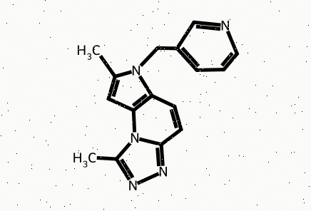 Cc1cc2c(ccc3nnc(C)n32)n1Cc1cccnc1